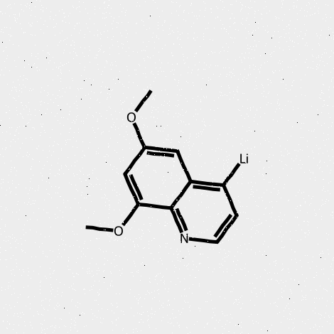 [Li][c]1ccnc2c(OC)cc(OC)cc12